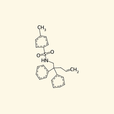 C=CCC(CNS(=O)(=O)c1ccc(C)cc1)(c1ccccc1)c1ccccc1